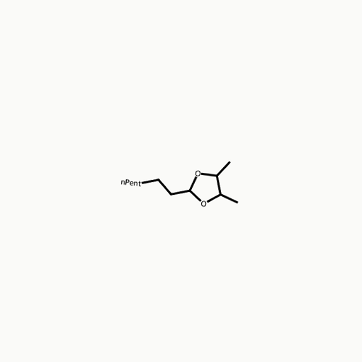 CCCCCCCC1OC(C)C(C)O1